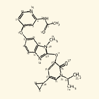 CC(=O)Nc1cc(Oc2ccc3nc(Oc4cc(C5CC5)cn(C(C)C)c4=O)n(C)c3c2)ccn1